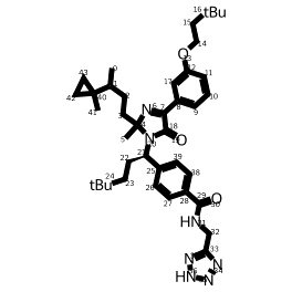 CC(CCC1(C)N=C(c2cccc(OCCC(C)(C)C)c2)C(=O)N1[C@H](CCC(C)(C)C)c1ccc(C(=O)NCc2nn[nH]n2)cc1)C1(C)CC1